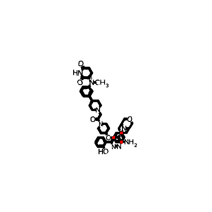 CN(c1cccc(C2CCN(CC(=O)N3CCC(Oc4cccc(N5C6COCC5CN(c5cc(-c7ccccc7O)nnc5N)C6)c4)CC3)CC2)c1)[C@H]1CCC(=O)NC1=O